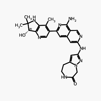 Cc1c(-c2cc3cc(Nc4cc5n(n4)CC(=O)NCC5)ncc3c(N)n2)cnc2c1NC(C)(C)[C@H]2O